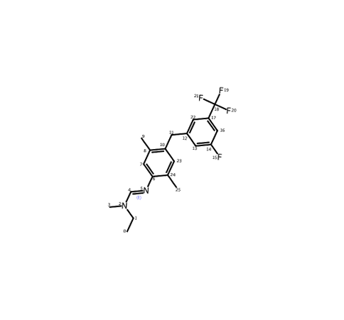 CCN(C)/C=N/c1cc(C)c(Cc2cc(F)cc(C(F)(F)F)c2)cc1C